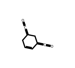 O=C=C1C=CCC(=C=O)C1